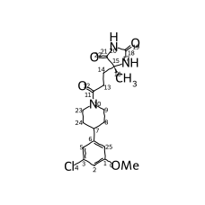 COc1cc(Cl)cc(C2CCN(C(=O)CC[C@@]3(C)NC(=O)NC3=O)CC2)c1